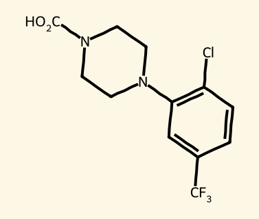 O=C(O)N1CCN(c2cc(C(F)(F)F)ccc2Cl)CC1